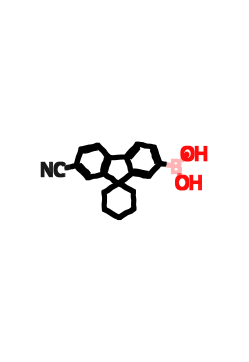 N#Cc1ccc2c(c1)C1(CCCCC1)c1cc(B(O)O)ccc1-2